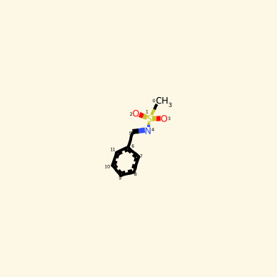 CS(=O)(=O)N=Cc1ccccc1